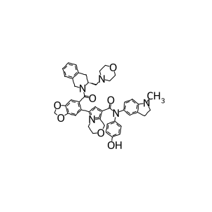 CN1CCc2cc(N(C(=O)c3cc(-c4cc5c(cc4C(=O)N4Cc6ccccc6C[C@H]4CN4CCOCC4)OCO5)n4c3COCC4)c3ccc(O)cc3)ccc21